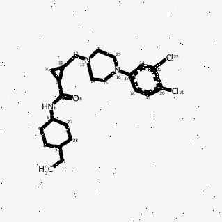 CCC1CCC(NC(=O)C2CC2CN2CCN(c3ccc(Cl)c(Cl)c3)CC2)CC1